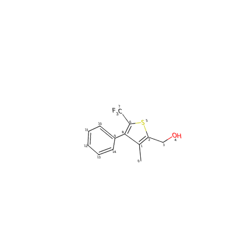 Cc1c(CO)sc(C(F)(F)F)c1-c1ccccc1